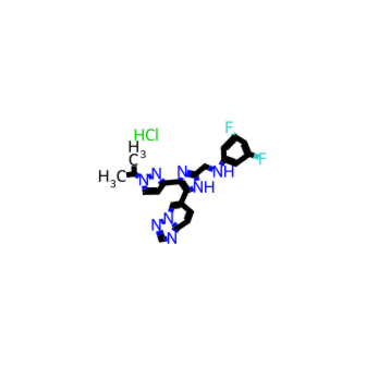 CC(C)n1ccc(-c2nc(CNc3cc(F)cc(F)c3)[nH]c2-c2ccc3ncnn3c2)n1.Cl